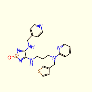 [O-][s+]1nc(NCCCN(Cc2ccsc2)c2ccccn2)c(NCc2ccncc2)n1